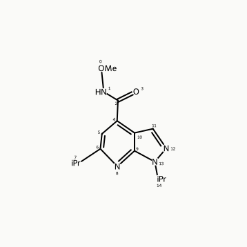 CONC(=O)c1cc(C(C)C)nc2c1cnn2C(C)C